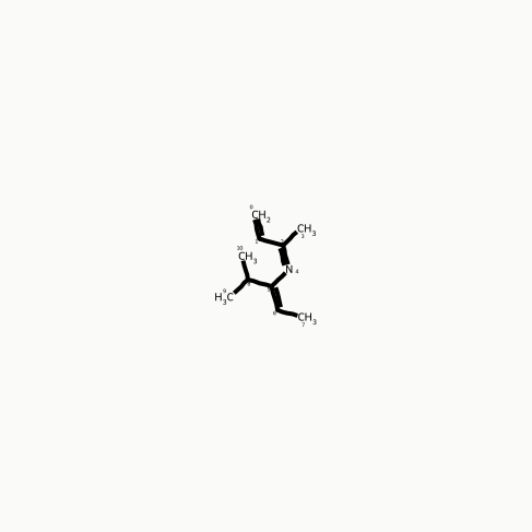 C=C/C(C)=N\C(=C/C)C(C)C